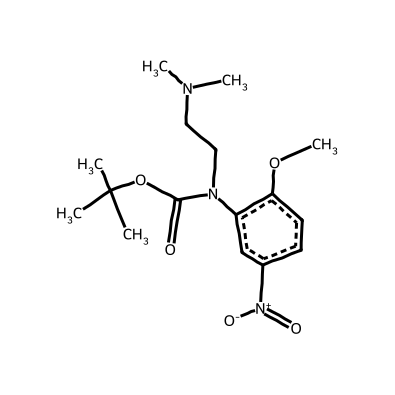 COc1ccc([N+](=O)[O-])cc1N(CCN(C)C)C(=O)OC(C)(C)C